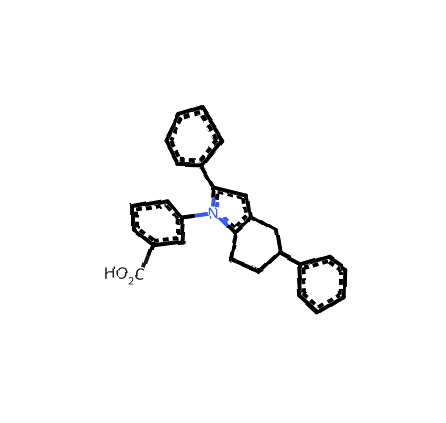 O=C(O)c1cccc(-n2c(-c3ccccc3)cc3c2CCC(c2ccccc2)C3)c1